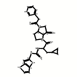 O=C(NC(CC1CC1)C(=O)N1CCC2C1C(=O)CN2C(=O)Cc1cccnc1)Oc1cc2sccc2s1